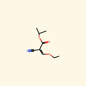 CCOC=C(C#N)C(=O)OC(C)C